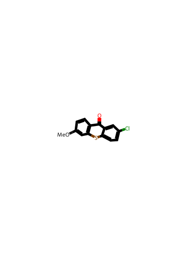 COc1ccc2c(=O)c3cc(Cl)ccc3sc2c1